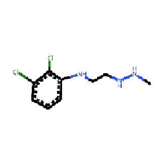 CNNCCNc1cccc(Cl)c1Cl